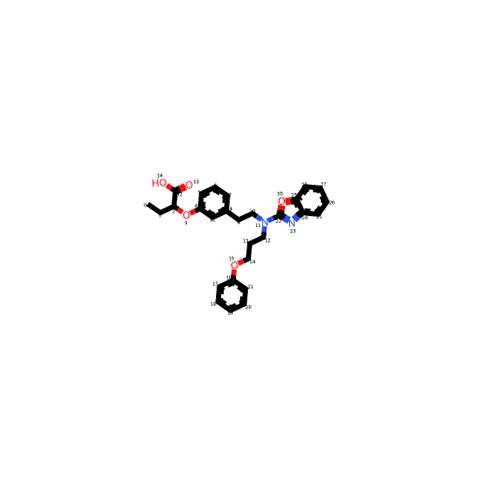 CCC(Oc1cccc(CCN(CCCOc2ccccc2)c2nc3ccccc3o2)c1)C(=O)O